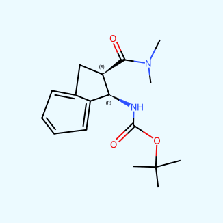 CN(C)C(=O)[C@@H]1Cc2ccccc2[C@@H]1NC(=O)OC(C)(C)C